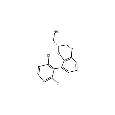 NC[C@@H]1COc2cccc(-c3c(Cl)cccc3Cl)c2O1